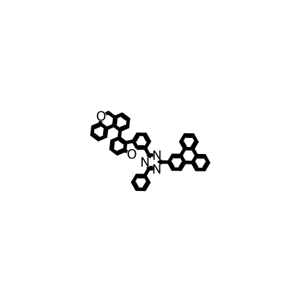 c1ccc(-c2nc(-c3ccc4c5ccccc5c5ccccc5c4c3)nc(-c3cccc4c3oc3cccc(-c5cccc6c5-c5ccccc5OC6)c34)n2)cc1